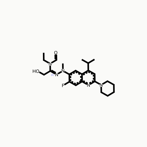 CCN(C=O)/C(CO)=N\N(C)c1cc2c(C(C)C)cc(N3CCCCC3)nc2cc1F